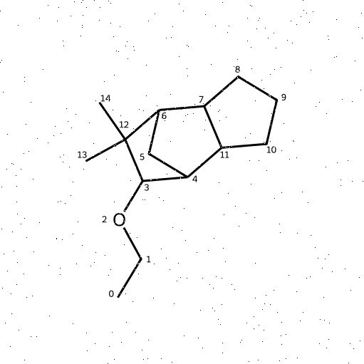 CCOC1C2CC(C3CCCC32)C1(C)C